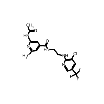 CC(=O)Nc1cc(C(=O)NCCNc2ncc(C(F)(F)F)cc2Cl)cc(C)n1